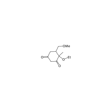 CCOC1(C)C(=O)CC(=O)CC1COC